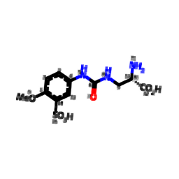 COc1ccc(NC(=O)NC[C@H](N)C(=O)O)cc1S(=O)(=O)O